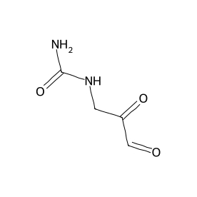 NC(=O)NCC(=O)C=O